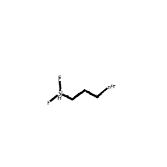 CCCCCC[SiH](F)F